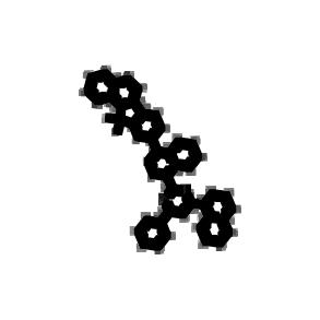 CC1(C)c2cc(-c3ccc(-c4nc(-c5ccccc5)cc(-c5cccc6ccccc56)n4)c4ccccc34)ccc2-c2ccc3ccccc3c21